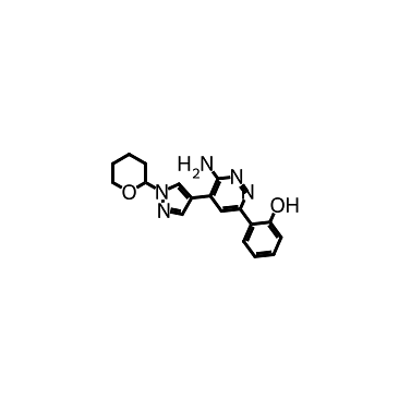 Nc1nnc(-c2ccccc2O)cc1-c1cnn(C2CCCCO2)c1